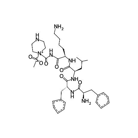 CC(C)C[C@@H](NC(=O)[C@@H](Cc1ccccc1)NC(=O)[C@H](N)Cc1ccccc1)C(=O)N[C@H](CCCCN)C(=O)NC(=O)[N+]1(S(C)(=O)=O)CCNCC1